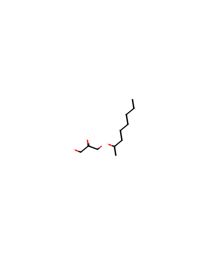 CCCCCCC(C)OCC(O)CO